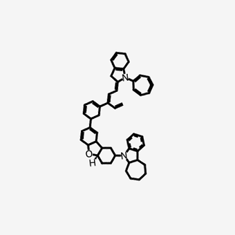 C=C/C(=C\C=C1/CC2=C(CCC=C2)N1C1=CC=C=CC=C1)C1=CC=CC(C2=CC3C(C=C2)O[C@H]2CCC(N4c5ccccc5C5CCCCCC54)CC32)C1